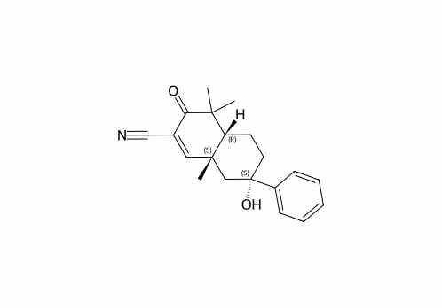 CC1(C)C(=O)C(C#N)=C[C@@]2(C)C[C@](O)(c3ccccc3)CC[C@@H]12